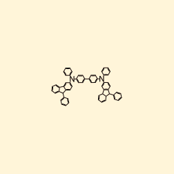 C1=CC2c3cc(N(c4ccccc4)c4ccc(-c5ccc(N(c6ccccc6)c6ccc7c(c6)-c6ccccc6C7c6ccccc6)cc5)cc4)ccc3C(c3ccccc3)C2C=C1